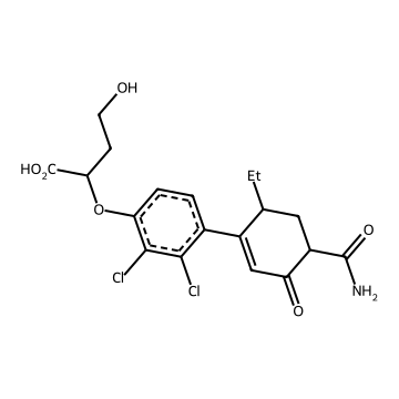 CCC1CC(C(N)=O)C(=O)C=C1c1ccc(OC(CCO)C(=O)O)c(Cl)c1Cl